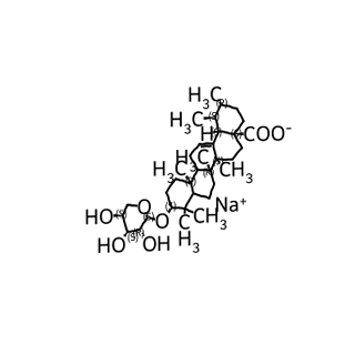 C[C@H]1[C@H](C)CC[C@]2(C(=O)[O-])CC[C@]3(C)C(=CCC4[C@@]5(C)CC[C@H](O[C@@H]6OC[C@H](O)[C@H](O)[C@H]6O)C(C)(C)C5CC[C@]43C)[C@H]12.[Na+]